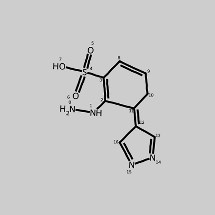 NNC1=C(S(=O)(=O)O)C=CCC1=C1C=NN=C1